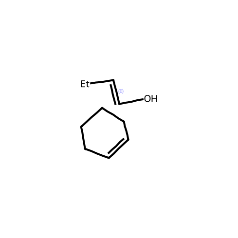 C1=CCCCC1.CC/C=C/O